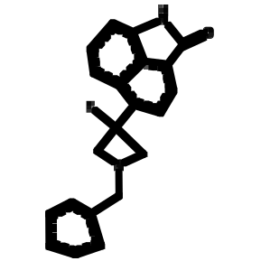 O=C1Nc2cccc3c(C4(F)CN(Cc5ccccc5)C4)ccc1c23